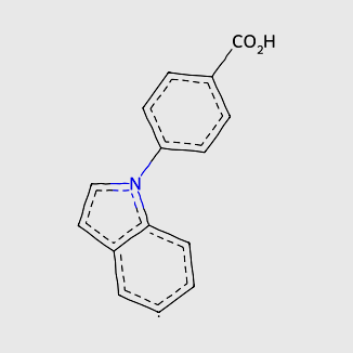 O=C(O)c1ccc(-n2ccc3c[c]ccc32)cc1